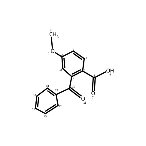 COc1ccc(C(=O)O)c(C(=O)c2ccccc2)c1